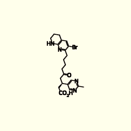 Cc1ncc([C@@H](CC(=O)O)CC(=O)CCCCc2nc3c(cc2Br)CCCN3)cn1